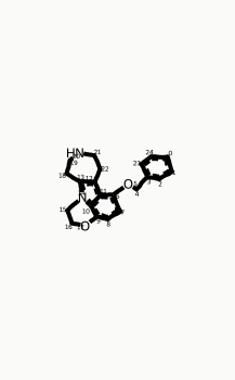 c1ccc(COc2ccc3c4c2c2c(n4CCO3)CCNCC2)cc1